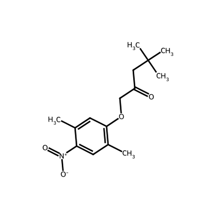 Cc1cc([N+](=O)[O-])c(C)cc1OCC(=O)CC(C)(C)C